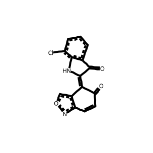 O=C1C=Cc2nocc2/C1=C1\Nc2c(Cl)cccc2C1=O